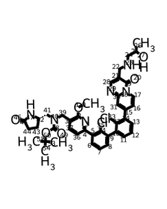 COc1nc(-c2cccc(-c3cccc(-c4ccn5c(=O)c(CNCC(C)O)cnc5c4)c3Cl)c2Cl)ccc1CN(C[C@@H]1CCC(=O)N1)C(=O)OC(C)(C)C